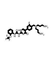 NCCCN(CCCN)Cc1ccc(-c2c[nH]c(NC(=O)Nc3ccccc3OC(F)(F)F)nc2=O)cc1F